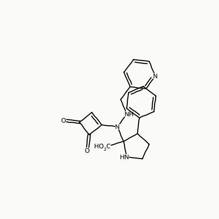 O=C(O)C1(N(NCc2cccnc2)c2cc(=O)c2=O)NCCC1c1ccccc1